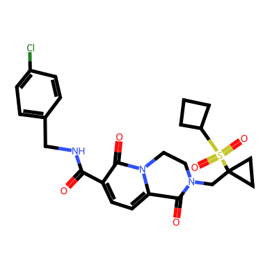 O=C(NCc1ccc(Cl)cc1)c1ccc2n(c1=O)CCN(CC1(S(=O)(=O)C3CCC3)CC1)C2=O